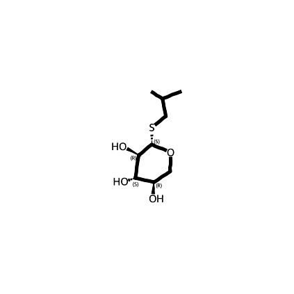 CC(C)CS[C@@H]1OC[C@@H](O)[C@H](O)[C@H]1O